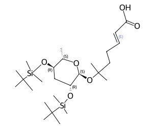 C[C@@H]1O[C@@H](OC(C)(C)CC/C=C/C(=O)O)[C@H](O[Si](C)(C)C(C)(C)C)C[C@H]1O[Si](C)(C)C(C)(C)C